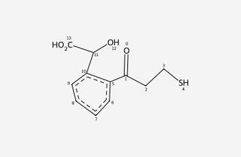 O=C(CCS)c1ccccc1C(O)C(=O)O